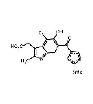 CSc1ccc(C(=O)C2=C(O)C(Cl)=C3C(=NC(C)=C3CC(=O)O)C2)s1